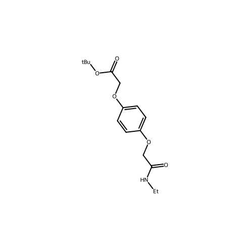 CCNC(=O)COc1ccc(OCC(=O)OC(C)(C)C)cc1